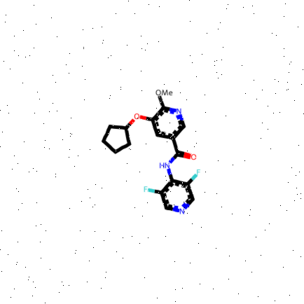 COc1ncc(C(=O)Nc2c(F)cncc2F)cc1OC1CCCC1